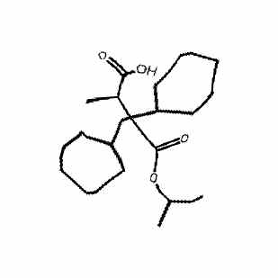 CC(C)OC(=O)C(C1CCCCC1)(C1CCCCC1)C(C)C(=O)O